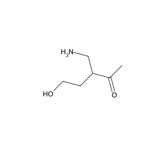 CC(=O)C(CN)CCO